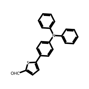 O=Cc1ccc(-c2ccc(N(c3ccccc3)c3ccccc3)cc2)s1